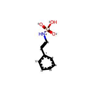 O=S(=O)(O)NC=Cc1ccccc1